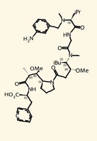 CC[C@H](C)[C@@H]([C@@H](CC(=O)N1CCC[C@H]1[C@H](OC)[C@@H](C)C(=O)N[C@@H](Cc1ccccc1)C(=O)O)OC)N(C)C(=O)CNC(=O)[C@H](C(C)C)N(C)Cc1cccc(N)c1